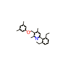 CCc1cccc(CC)c1-c1cc(C)c(COc2cc(C)cc(C)c2)c(C)n1